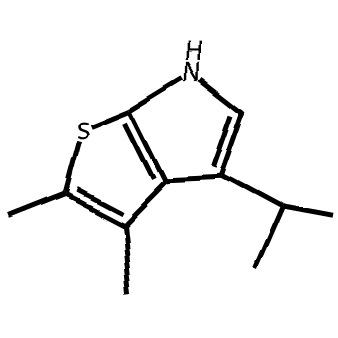 Cc1sc2[nH]cc(C(C)C)c2c1C